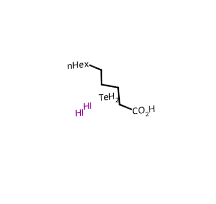 CCCCCCCCCCC(=O)O.I.I.[TeH2]